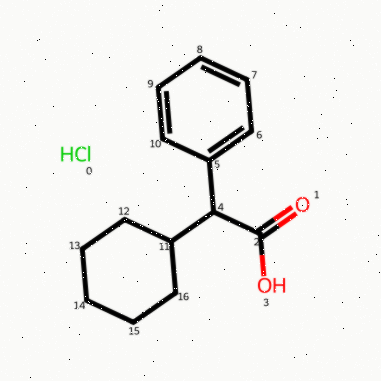 Cl.O=C(O)C(c1ccccc1)C1CCCCC1